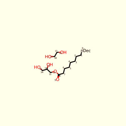 CCCCCCCCCCCCCCCCCC(=O)OCC(O)CO.OCCO